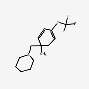 CC1(CN2CCCCC2)C=CC(OC(F)(F)F)=CC1